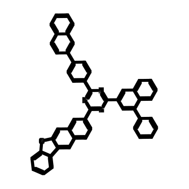 c1ccc(-c2cc(-c3nc(-c4ccc(-c5ccc6ccccc6c5)cc4)nc(-c4ccc5cc6c(cc5c4)oc4ccccc46)n3)cc3ccccc23)cc1